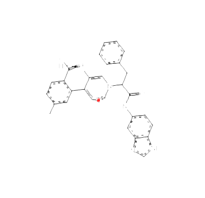 C/C=C(\C(=C/N(C=O)C(Cc1ccccc1)C(=O)Nc1ccc2[nH]cnc2c1)OC)c1cc(Cl)ccc1C(C)=O